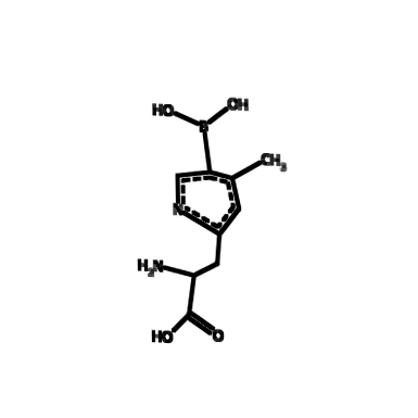 Cc1cc(CC(N)C(=O)O)ncc1B(O)O